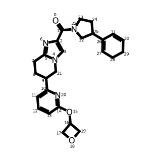 O=C(c1cn2c(n1)CCC(c1cccc(OC3COC3)n1)C2)N1CCC(C2=CCCC=C2)C1